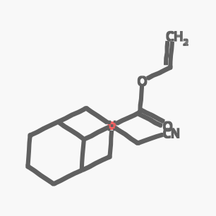 C=COC(=O)N1CC2CCCC(C1)C2CCC#N